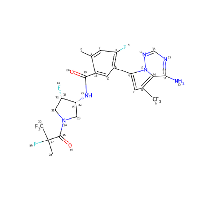 Cc1cc(F)c(-c2cc(C(F)(F)F)c3c(N)ncnn23)cc1C(=O)N[C@@H]1CN(C(=O)C(C)(F)C(F)(F)F)C[C@@H]1F